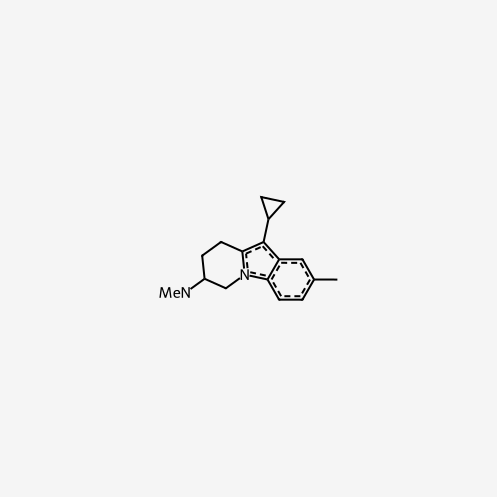 CNC1CCc2c(C3CC3)c3cc(C)ccc3n2C1